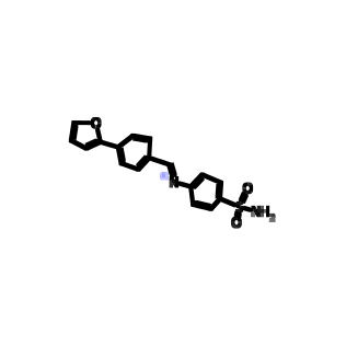 NS(=O)(=O)c1ccc(/N=C/c2ccc(-c3ccco3)cc2)cc1